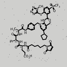 CC(C)[C@H](NC(=O)[C@H](CCC(=O)O)NC(=O)CCCCCN1C(=O)C=CC1=O)C(=O)N[C@@H](C)C(=O)Nc1ccc(C[n+]2cc(C3CCCC3)cc(F)c2NC(=O)c2cc(S(=O)(=O)C(F)(F)F)ccc2Sc2nnnn2C)cc1